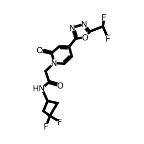 O=C(Cn1ccc(-c2nnc(C(F)F)o2)cc1=O)NC1CC(F)(F)C1